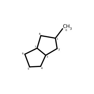 CC1CC2CCCC2C1